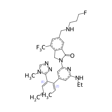 C=C/C=C(\C(=C/C)c1cc(NCC)nc(N2Cc3c(cc(CNCCCF)cc3C(F)(F)F)C2=O)c1)c1nncn1C